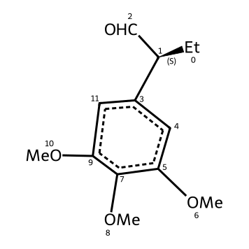 CC[C@H](C=O)c1cc(OC)c(OC)c(OC)c1